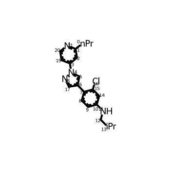 CCCc1cc(-n2cc(-c3ccc(NCC(C)C)cc3Cl)cn2)ccn1